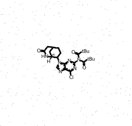 CC(C)(C)C(=O)N(C(=O)C(C)(C)C)c1nc(Cl)c2ncn(C3CCC4CC(=O)N[C@@H]3C4)c2n1